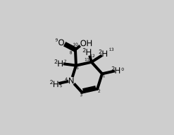 [2H]C1C=CN([2H])C([2H])(C(=O)O)C1([2H])[2H]